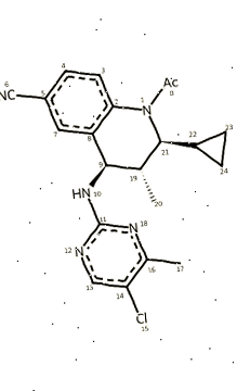 CC(=O)N1c2ccc(C#N)cc2[C@H](Nc2ncc(Cl)c(C)n2)[C@@H](C)[C@@H]1C1CC1